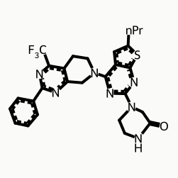 CCCc1cc2c(N3CCc4c(nc(-c5ccccc5)nc4C(F)(F)F)C3)nc(N3CCNC(=O)C3)nc2s1